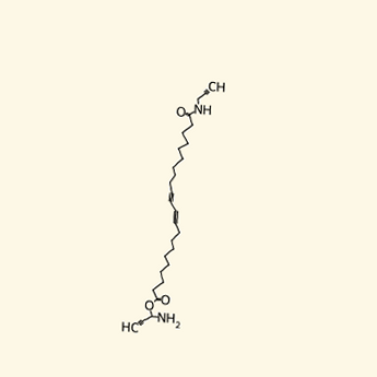 C#CCNC(=O)CCCCCCCCC#CC#CCCCCCCCCC(=O)OC(N)C#C